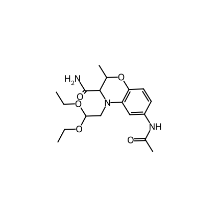 CCOC(CN1c2cc(NC(C)=O)ccc2OC(C)C1C(N)=O)OCC